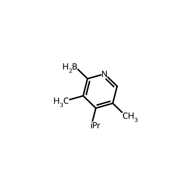 Bc1ncc(C)c(C(C)C)c1C